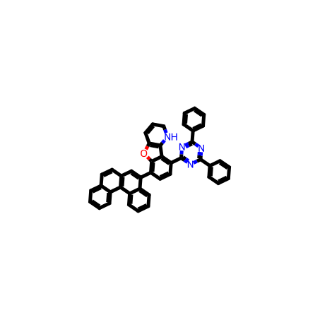 C1=Cc2oc3c(-c4cc5ccc6ccccc6c5c5ccccc45)ccc(-c4nc(-c5ccccc5)nc(-c5ccccc5)n4)c3c2NC1